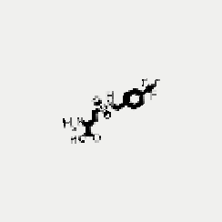 NC(CCS(=O)(=O)NCc1ccc(C(F)(F)F)cc1)C(=O)O